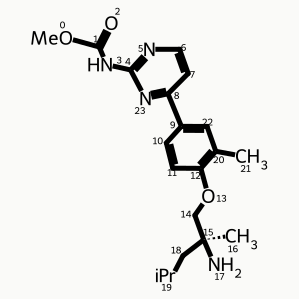 COC(=O)Nc1nccc(-c2ccc(OC[C@@](C)(N)CC(C)C)c(C)c2)n1